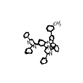 Cc1cccc(-c2ccc3c4ccccc4n(-c4ccc(-c5cc(-c6ccccc6)nc(-c6ccccc6)n5)cc4-c4cc(-c5ccccc5)nc(-c5ccccc5)n4)c3c2)c1